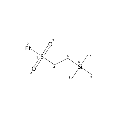 CCS(=O)(=O)CC[Si](C)(C)C